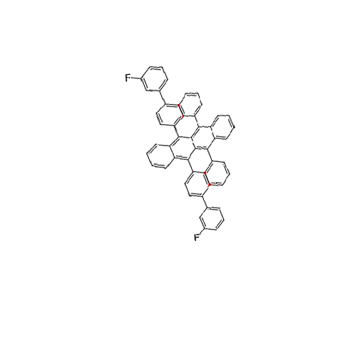 Fc1cccc(-c2ccc(-c3c4ccccc4c(-c4ccc(-c5cccc(F)c5)cc4)c4c(-c5ccccc5)c5ccccc5c(-c5ccccc5)c34)cc2)c1